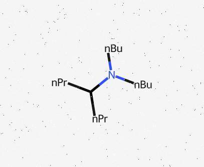 CCCCN(CCCC)C(CCC)CCC